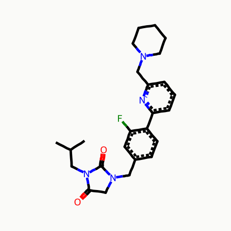 CC(C)CN1C(=O)CN(Cc2ccc(-c3cccc(CN4CCCCC4)n3)c(F)c2)C1=O